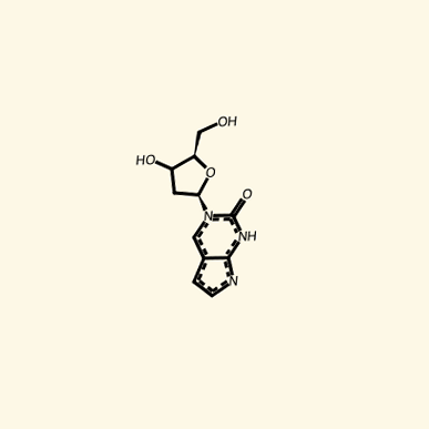 O=c1[nH]c2nccc-2cn1[C@H]1CC(O)[C@@H](CO)O1